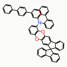 c1ccc(-c2ccc(-c3cccc(N(c4ccccc4-c4ccccc4)c4cccc5c4Oc4cc6c(cc4O5)C4(c5ccccc5-c5ccccc54)c4ccccc4-6)c3)cc2)cc1